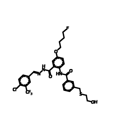 O=C(Nc1ccc(OCCCCF)cc1C(=O)N/N=C/c1ccc(Cl)c(C(F)(F)F)c1)c1cccc(CSCCO)c1